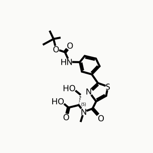 CN(C(=O)c1csc(-c2cccc(NC(=O)OC(C)(C)C)c2)n1)[C@@H](CO)C(=O)O